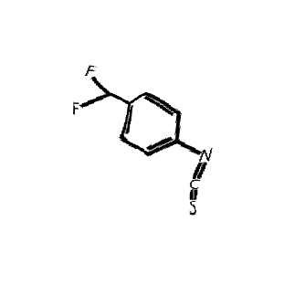 FC(F)c1ccc(N=C=S)cc1